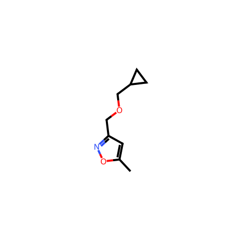 Cc1cc(COCC2CC2)no1